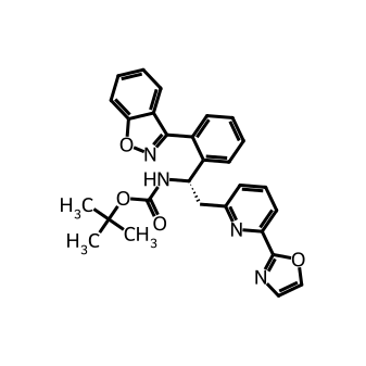 CC(C)(C)OC(=O)N[C@@H](Cc1cccc(-c2ncco2)n1)c1ccccc1-c1noc2ccccc12